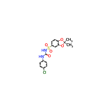 CC1(C)Oc2ccc(S(=O)(=O)NC(=O)Nc3ccc(Cl)cc3)cc2O1